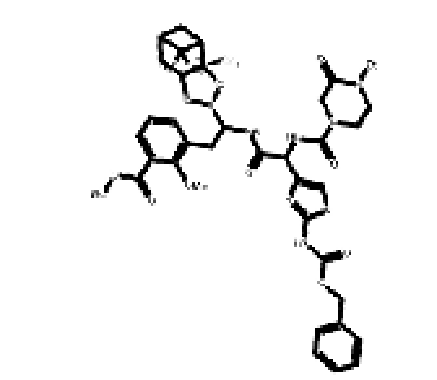 CCN1CCN(C(=O)NC(C(=O)NC(Cc2cccc(C(=O)OC(C)(C)C)c2OC)B2OC3CC4CC(C4(C)C)[C@]3(C)O2)c2csc(NC(=O)OCc3ccccc3)n2)CC1=O